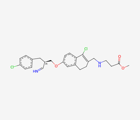 COC(=O)CCNCC1=C(Cl)c2ccc(OC[C@@H](C=N)Cc3ccc(Cl)cc3)cc2CC1